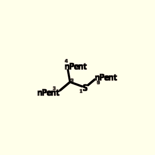 CCCCCSC(CCCCC)CCCCC